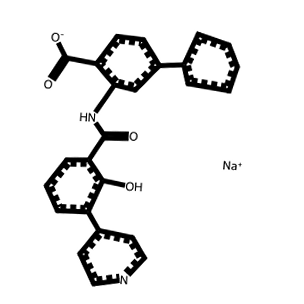 O=C([O-])c1ccc(-c2ccccc2)cc1NC(=O)c1cccc(-c2ccncc2)c1O.[Na+]